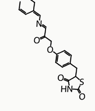 C\C=C/C(=C\N=C\C(=O)COc1ccc(CC2SC(=O)NC2=O)cc1)CC